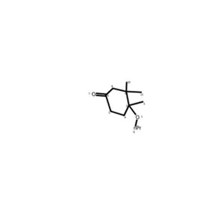 CCCOC1(C)CCC(=O)CC1(C)C